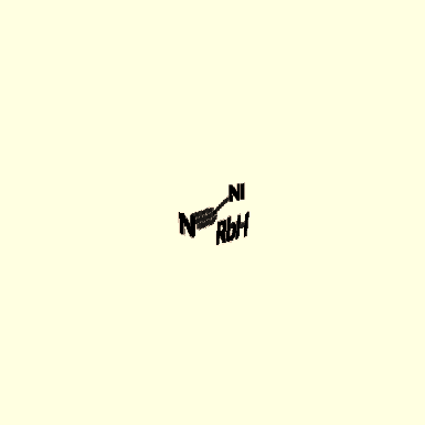 N#[C][Ni].[RbH]